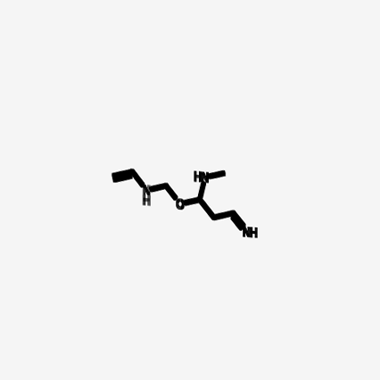 C=CNCOC(CC=N)NC